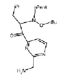 CCCCCN(OC(C)(C)C)C(CC(C)C)C(=O)c1ccnc(CN)n1